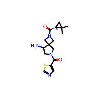 CC1(C)C[C@@H]1C(=O)N1CC2(CN(C(=O)c3cncs3)CC2N)C1